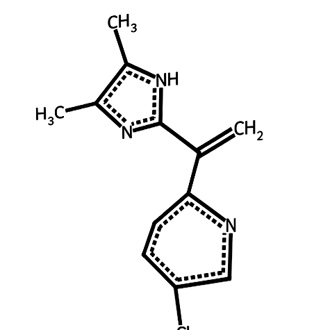 C=C(c1ccc(Cl)cn1)c1nc(C)c(C)[nH]1